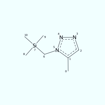 Cc1cnnn1C[Si](C)(C)C